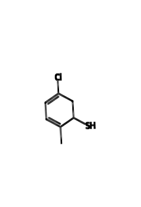 CC1=CC=C(Cl)CC1S